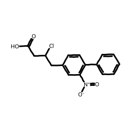 O=C(O)CC(Cl)Cc1ccc(-c2ccccc2)c([N+](=O)[O-])c1